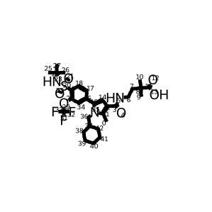 Cc1c(C(=O)NCCC(C)(C)C(=O)O)cc(-c2ccc(S(=O)(=O)NC(C)(C)C)c(OC(F)(F)F)c2)n1CC1CCCCC1